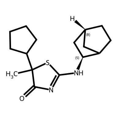 CC1(C2CCCC2)SC(N[C@H]2C[C@@H]3CCC2C3)=NC1=O